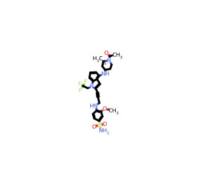 COc1cc(S(N)(=O)=O)ccc1NCC#Cc1cc2c(N[C@H]3CCN(C(C)=O)[C@@H](C)C3)cccc2n1CC(F)(F)F